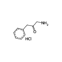 Cl.NCC(=O)Cc1ccccc1